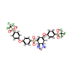 O=S(=O)(c1ccc(Oc2ccc(S(=O)(=O)C(F)(F)F)cc2)cc1)c1cc(Oc2ccc(S(=O)(=O)C(F)(F)F)cc2)cc2nsnc12